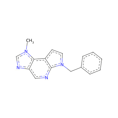 Cn1cnc2cnc3c(ccn3Cc3ccccc3)c21